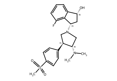 CN(C)[C@H]1CN([C@H]2C[C@@H](O)c3cccc(F)c32)C[C@@H]1c1ccc(S(C)(=O)=O)cc1